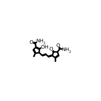 CC1=CC(C(N)=O)C(=O)C1=CC=CC1C(C)=CC(C(N)=O)=C1O